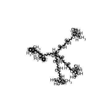 CC(=O)N[C@H]1[C@H](OCCCCC(=O)NCCCNC(=O)CCOCC(COCCC(=O)NCCCNC(=O)CCCCO[C@@H]2O[C@H](CO)[C@H](O)[C@H](O)[C@H]2NC(C)=O)(COCCC(=O)NCCCNC(=O)CCCCO[C@@H]2O[C@H](CO)[C@H](O)[C@H](O)[C@H]2NC(C)=O)NC(=O)CCCCC[N+]2=C(/C=C/C=C/C=C3/N(C)c4ccccc4C3(C)C)C(C)(C)c3ccccc32)O[C@H](CO)[C@H](O)[C@@H]1O